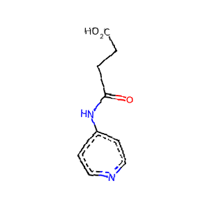 O=C(O)CCC(=O)Nc1ccncc1